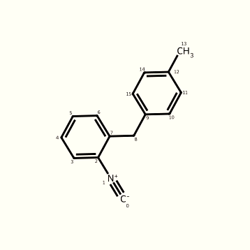 [C-]#[N+]c1ccccc1Cc1ccc(C)cc1